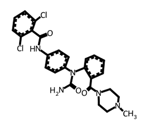 CN1CCN(C(=O)c2ccccc2N(C(N)=O)c2ccc(NC(=O)c3c(Cl)cccc3Cl)cc2)CC1